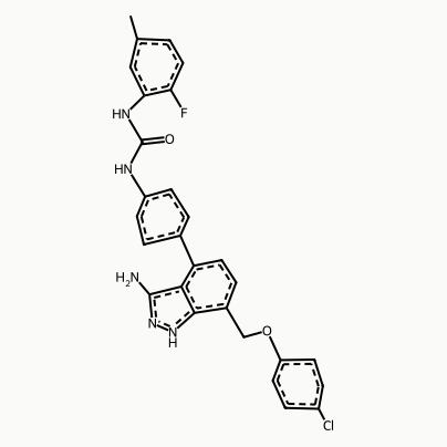 Cc1ccc(F)c(NC(=O)Nc2ccc(-c3ccc(COc4ccc(Cl)cc4)c4[nH]nc(N)c34)cc2)c1